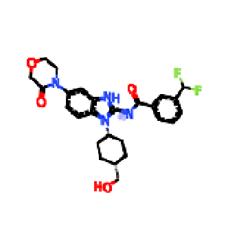 O=C(/N=c1\[nH]c2cc(N3CCOCC3=O)ccc2n1[C@H]1CC[C@@H](CO)CC1)c1cccc(C(F)F)c1